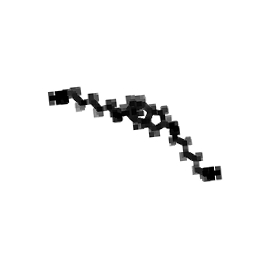 SCCCCCSC1CC2C3CC(SCCCCCS)C(C3)C2C1